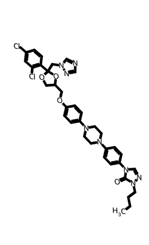 CCCCn1ncn(-c2ccc(N3CCN(c4ccc(OCC5COC(Cn6cncn6)(c6ccc(Cl)cc6Cl)O5)cc4)CC3)cc2)c1=O